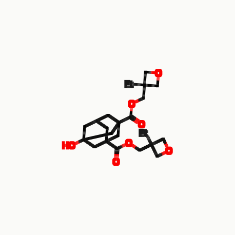 CCC1(COC(=O)C23CC4CC(O)(C2)CC(C(=O)OCC2(CC)COC2)(C4)C3)COC1